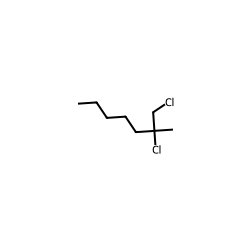 CCCCCC(C)(Cl)CCl